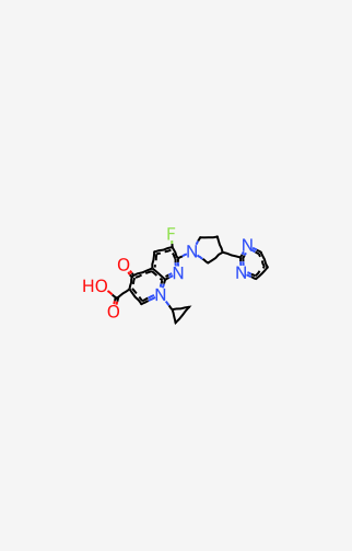 O=C(O)c1cn(C2CC2)c2nc(N3CCC(c4ncccn4)C3)c(F)cc2c1=O